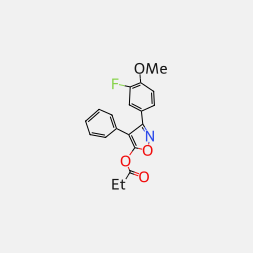 CCC(=O)Oc1onc(-c2ccc(OC)c(F)c2)c1-c1ccccc1